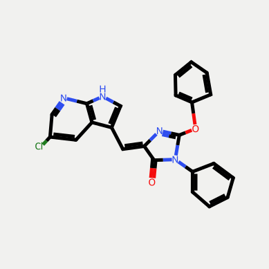 O=C1/C(=C/c2c[nH]c3ncc(Cl)cc23)N=C(Oc2ccccc2)N1c1ccccc1